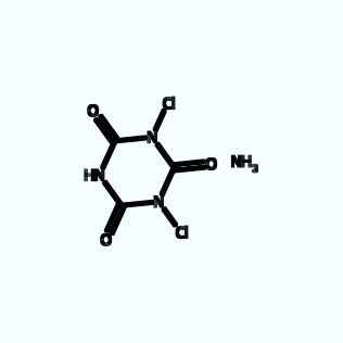 N.O=c1[nH]c(=O)n(Cl)c(=O)n1Cl